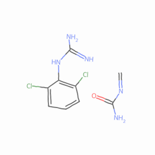 C=NC(N)=O.N=C(N)Nc1c(Cl)cccc1Cl